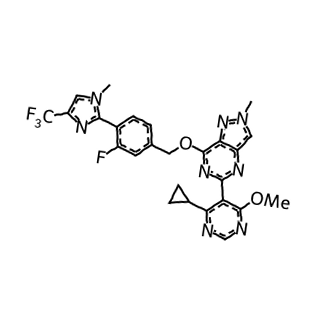 COc1ncnc(C2CC2)c1-c1nc(OCc2ccc(-c3nc(C(F)(F)F)cn3C)c(F)c2)c2nn(C)cc2n1